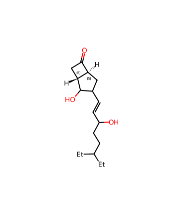 CCC(CC)CCC(O)C=CC1C[C@@H]2C(=O)C[C@H]2C1O